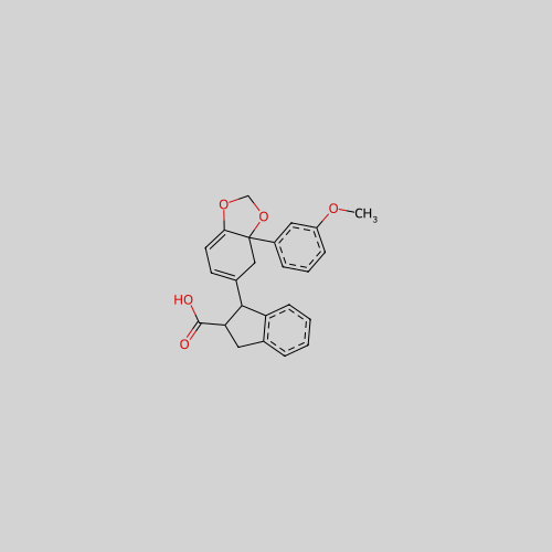 COc1cccc(C23CC(C4c5ccccc5CC4C(=O)O)=CC=C2OCO3)c1